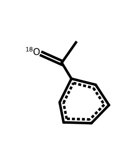 CC(=[18O])c1ccccc1